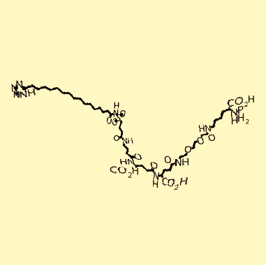 O=C(CCCS(=O)(=O)NC(=O)CCCCCCCCCCCCCCCc1nnn[nH]1)NCCCC(=O)NC(CCC(=O)NC(CCC(=O)NCCOCCOCC(=O)NCCCC[C@H](NP)C(=O)O)C(=O)O)C(=O)O